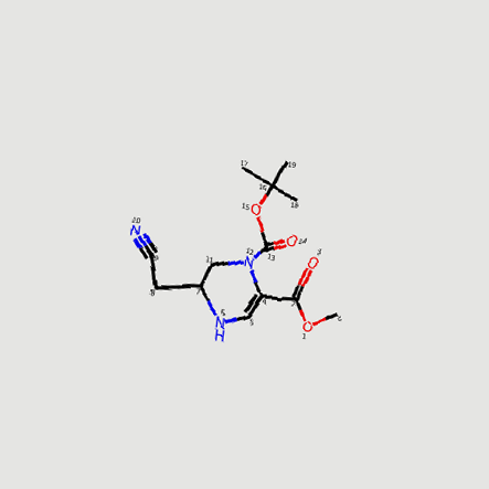 COC(=O)C1=CNC(CC#N)CN1C(=O)OC(C)(C)C